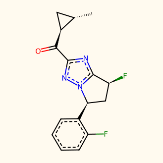 C[C@H]1C[C@@H]1C(=O)c1nc2n(n1)[C@H](c1ccccc1F)C[C@@H]2F